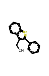 N#CCc1c(-c2ccccc2)sc2ccccc12